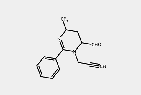 C#CCN1C(c2ccccc2)=NC(C(F)(F)F)CC1C=O